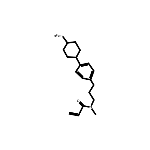 C=CC(=O)N(C)CCCc1ccc(C2CCC(CCCCC)CC2)cc1